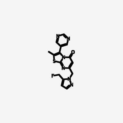 Cc1sc2nc(Cn3nccc3CF)cc(=O)n2c1-c1cncnc1